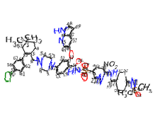 CC1(C)CCC(CN2CCN(c3ccc(C(=O)NS(=O)(=O)c4cnc(NCC5CCC(N=S(C)(C)=O)CC5)c([N+](=O)[O-])c4)c(Oc4cnc5[nH]ccc5c4)c3)CC2)=C(c2ccc(Cl)cc2)C1